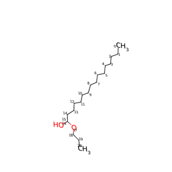 CCCCCCCCCCCCCCCC(O)OCCC